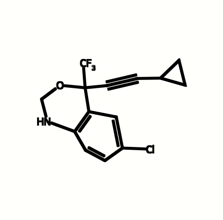 FC(F)(F)C1(C#CC2CC2)OCNc2ccc(Cl)cc21